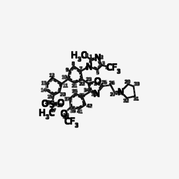 Cc1nc(C(F)(F)F)cn1-c1ccc(-c2cccc(S(C)(=O)=O)c2)cc1-c1oc(CCN2CCCC2)nc1-c1ccc(OC(F)(F)F)cc1